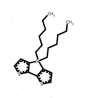 CCCCCC[Si]1(CCCCCC)c2ccsc2-c2sccc21